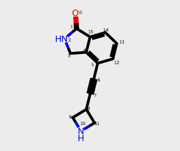 O=C1NCc2c(C#CC3CNC3)cccc21